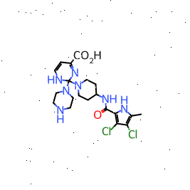 Cc1[nH]c(C(=O)NC2CCN(C3(N4CCNCC4)N=C(C(=O)O)C=CN3)CC2)c(Cl)c1Cl